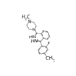 Cc1ccc(C(=N)c2ccccc2C(=N)N2CCN(C)CC2)c(F)c1